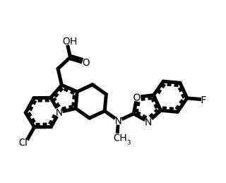 CN(c1nc2cc(F)ccc2o1)C1CCc2c(CC(=O)O)c3ccc(Cl)cn3c2C1